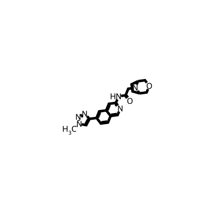 Cn1cc(-c2ccc3cnc(NC(=O)CN4C5CCC4COC5)cc3c2)nn1